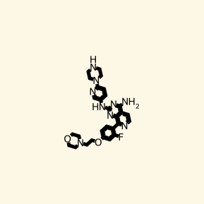 Nc1nc(Nc2ccc(N3CCNCC3)nc2)nc2c(-c3ccc(OCCN4CCOCC4)cc3F)nccc12